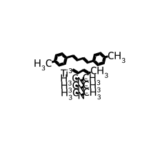 CC=CC=[CH][Ti+3].C[N-]C.C[N-]C.C[N-]C.Cc1ccc(C=CC=Cc2ccc(C)cc2)cc1